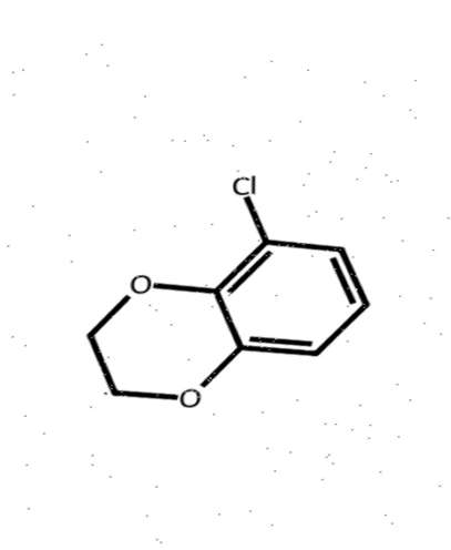 Clc1cccc2c1OC[CH]O2